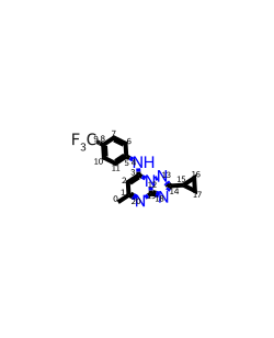 Cc1cc(Nc2ccc(C(F)(F)F)cc2)n2nc(C3CC3)nc2n1